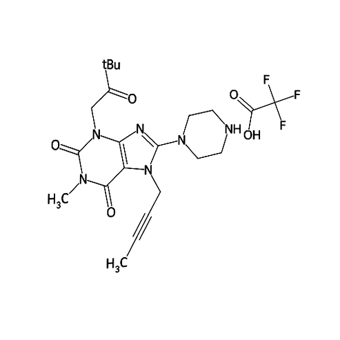 CC#CCn1c(N2CCNCC2)nc2c1c(=O)n(C)c(=O)n2CC(=O)C(C)(C)C.O=C(O)C(F)(F)F